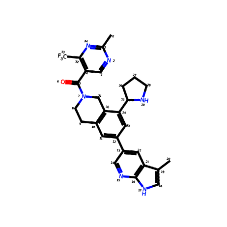 Cc1ncc(C(=O)N2CCc3cc(-c4cnc5[nH]cc(C)c5c4)cc(C4CCCN4)c3C2)c(C(F)(F)F)n1